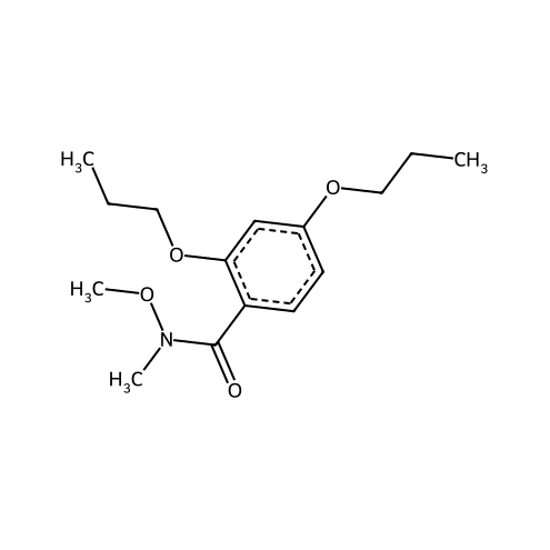 CCCOc1ccc(C(=O)N(C)OC)c(OCCC)c1